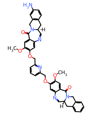 COc1cc2c(cc1OCc1cccc(COc3cc4c(cc3OC)C(=O)N3Cc5ccccc5C[C@@H]3C=N4)n1)N=C[C@@H]1Cc3ccc(N)cc3CN1C2=O